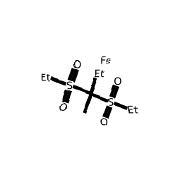 CCC(C)(S(=O)(=O)CC)S(=O)(=O)CC.[Fe]